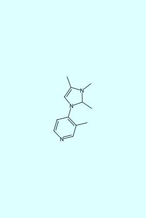 CC1=CN(c2ccncc2C)C(C)N1C